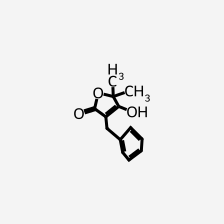 CC1(C)OC(=O)C(Cc2ccccc2)=C1O